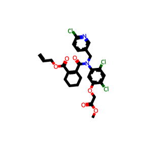 C=CCOC(=O)C1=C(C(=O)N(Cc2ccc(Cl)nc2)c2cc(OCC(=O)OC)c(Cl)cc2Cl)CCCC1